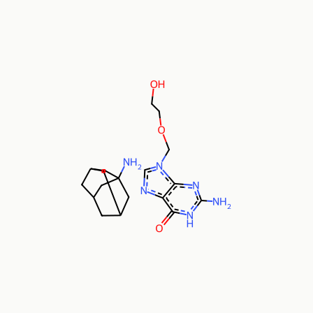 NC12CC3CC(CC(C3)C1)C2.Nc1nc2c(ncn2COCCO)c(=O)[nH]1